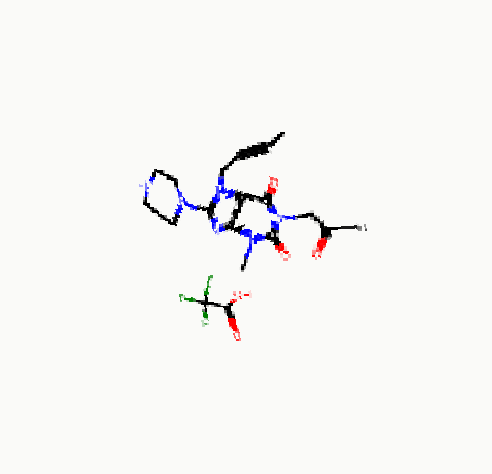 CC#CCn1c(N2CCNCC2)nc2c1c(=O)n(CC(=O)CC)c(=O)n2C.O=C(O)C(F)(F)F